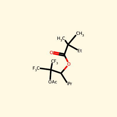 CCC(C)(C)C(=O)OC(C(C)C)C(OC(C)=O)(C(F)(F)F)C(F)(F)F